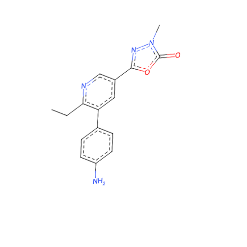 CCc1ncc(-c2nn(C)c(=O)o2)cc1-c1ccc(N)cc1